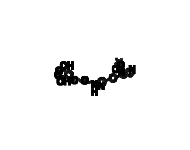 CC(C)(C)OC(=O)n1c(-c2ccc(-c3ccc(NCCOCCOc4ccc(C(=O)O)c(C(=O)O)c4)nc3)cc2)cc2ccncc21